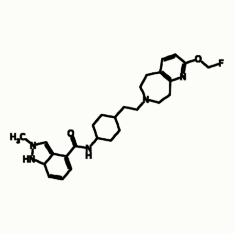 CN1C=C2C(C(=O)NC3CCC(CCN4CCc5ccc(OCF)nc5CC4)CC3)=CC=CC2N1